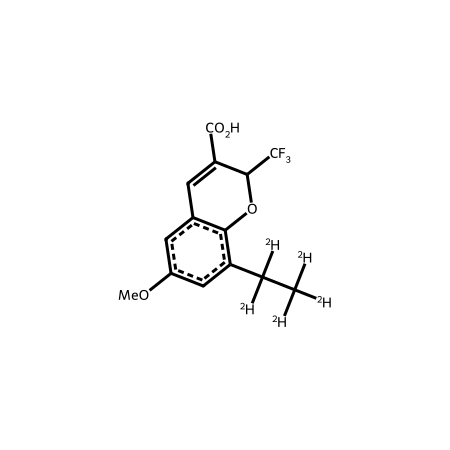 [2H]C([2H])([2H])C([2H])([2H])c1cc(OC)cc2c1OC(C(F)(F)F)C(C(=O)O)=C2